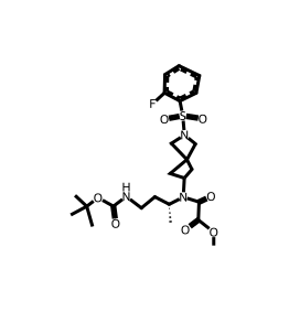 COC(=O)C(=O)N(C1CC2(C1)CN(S(=O)(=O)c1ccccc1F)C2)[C@H](C)CCNC(=O)OC(C)(C)C